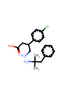 CC(C)(N)Cc1ccccc1.NCC(CC(=O)O)c1ccc(Cl)cc1